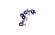 COc1cc2c(N3CCN(C(=S)NCc4cnc(C)cn4)CC3)ncnc2cc1OCCC1CCCCN1